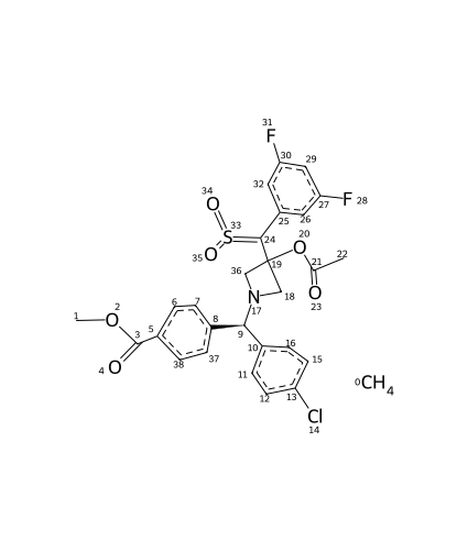 C.COC(=O)c1ccc([C@H](c2ccc(Cl)cc2)N2CC(OC(C)=O)(C(c3cc(F)cc(F)c3)=S(=O)=O)C2)cc1